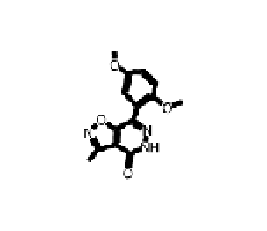 COc1ccc(OC)c(-c2n[nH]c(=O)c3c(C)noc23)c1